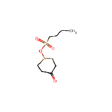 CCCCS(=O)(=O)O[S+]1CCC(=O)CC1